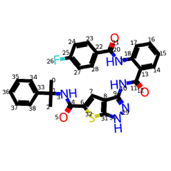 CC(C)(NC(=O)c1cc2c(NC(=O)c3ccccc3NC(=O)c3ccc(F)cc3)n[nH]c2s1)c1ccccc1